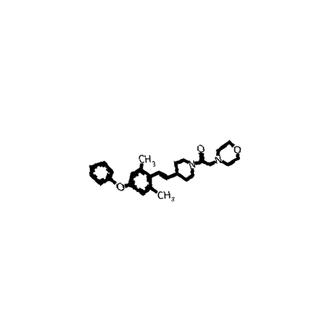 Cc1cc(Oc2ccccc2)cc(C)c1C=CC1CCN(C(=O)CN2CCOCC2)CC1